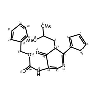 COC(Cn1c(-c2cccs2)ncc(NC(=O)OCc2ccccc2)c1=O)OC